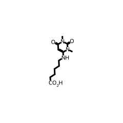 Cn1c(NCCCCCC(=O)O)cc(=O)n(C)c1=O